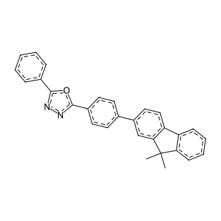 CC1(C)c2ccccc2-c2ccc(-c3ccc(-c4nnc(-c5ccccc5)o4)cc3)cc21